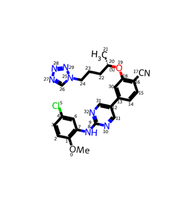 COc1ccc(Cl)cc1Nc1ncc(-c2ccc(C#N)c(O[C@@H](C)CCCn3cnnn3)c2)cn1